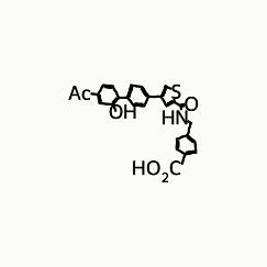 CC(=O)c1ccc(-c2ccc(-c3csc(C(=O)NCc4ccc(CC(=O)O)cc4)c3)cc2)c(O)c1